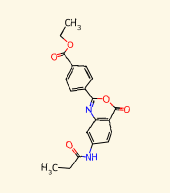 CCOC(=O)c1ccc(-c2nc3cc(NC(=O)CC)ccc3c(=O)o2)cc1